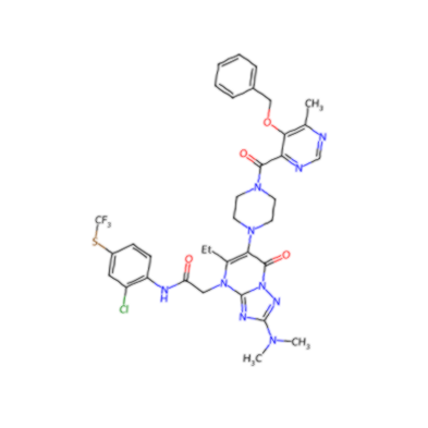 CCc1c(N2CCN(C(=O)c3ncnc(C)c3OCc3ccccc3)CC2)c(=O)n2nc(N(C)C)nc2n1CC(=O)Nc1ccc(SC(F)(F)F)cc1Cl